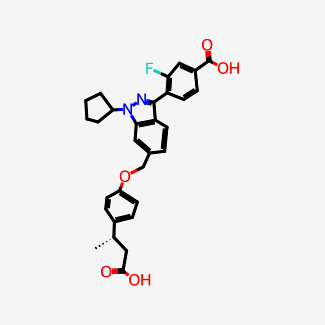 C[C@@H](CC(=O)O)c1ccc(OCc2ccc3c(-c4ccc(C(=O)O)cc4F)nn(C4CCCC4)c3c2)cc1